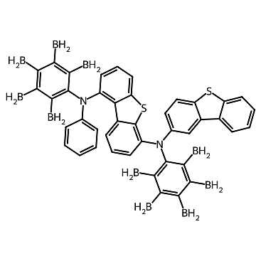 Bc1c(B)c(B)c(N(c2ccc3sc4ccccc4c3c2)c2cccc3c2sc2cccc(N(c4ccccc4)c4c(B)c(B)c(B)c(B)c4B)c23)c(B)c1B